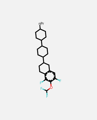 CCCC1CCC(C2CCC(C3CCc4c(cc(F)c(OC(F)F)c4F)C3)CC2)CC1